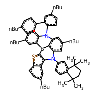 CCCCc1ccc(-c2cc(CCCC)ccc2N2c3ccc(CCCC)cc3B3c4sc5ccc(CCCC)cc5c4N(c4ccc5c(c4)C(C)(C)CCC5(C)C)c4cc(CCCC)cc2c43)cc1